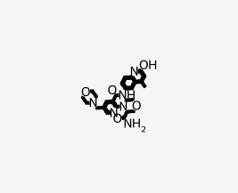 Cc1cc(O)nc2ccc(NC(=O)c3cc(CN4CCOCC4)cnc3N3CCOCC3C(N)=O)cc12